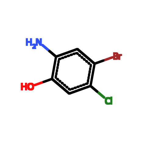 Nc1cc(Br)c(Cl)cc1O